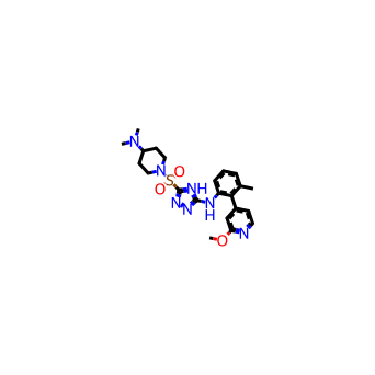 COc1cc(-c2c(C)cccc2Nc2nnc(S(=O)(=O)N3CCC(N(C)C)CC3)[nH]2)ccn1